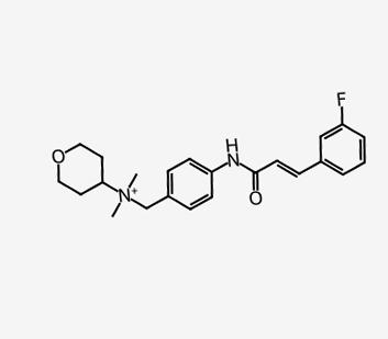 C[N+](C)(Cc1ccc(NC(=O)/C=C/c2cccc(F)c2)cc1)C1CCOCC1